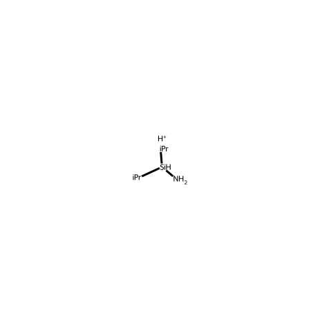 CC(C)[SiH](N)C(C)C.[H+]